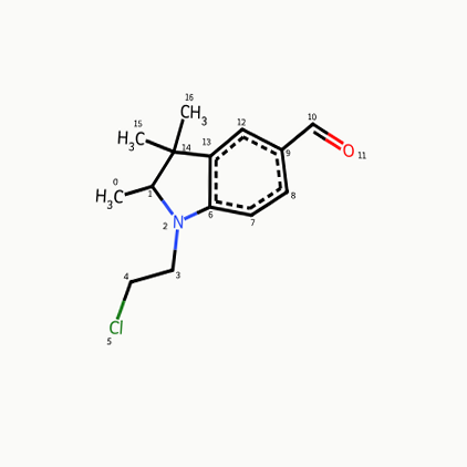 CC1N(CCCl)c2ccc(C=O)cc2C1(C)C